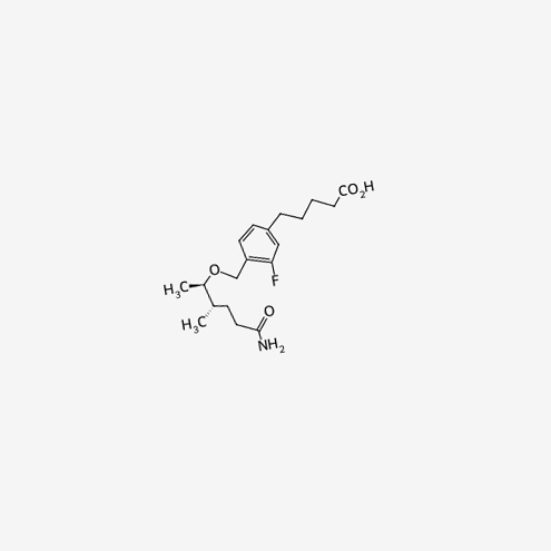 C[C@@H](CCC(N)=O)[C@@H](C)OCc1ccc(CCCCC(=O)O)cc1F